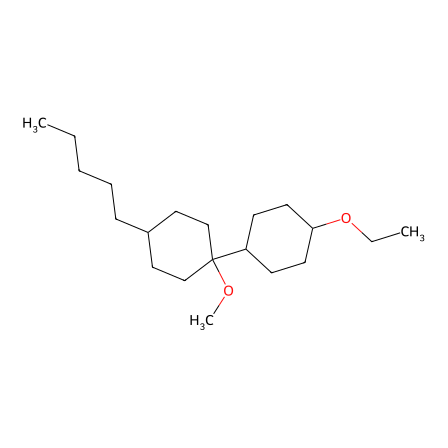 CCCCCC1CCC(OC)(C2CCC(OCC)CC2)CC1